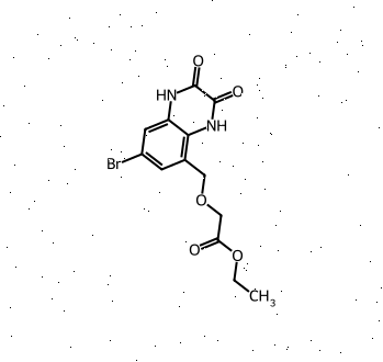 CCOC(=O)COCc1cc(Br)cc2[nH]c(=O)c(=O)[nH]c12